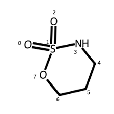 O=S1(=O)NCCCO1